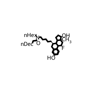 CCCCCCCCCCCC(=O)N(CCCCCC)CCCCC[C@@H]1Cc2cc(O)ccc2C2C1C1CC[C@H](O)[C@@]1(C)C[C@@H]2F